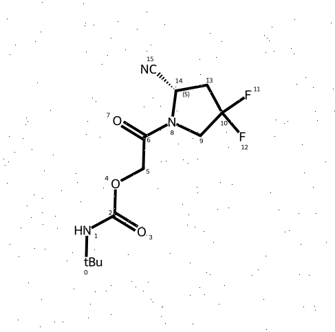 CC(C)(C)NC(=O)OCC(=O)N1CC(F)(F)C[C@H]1C#N